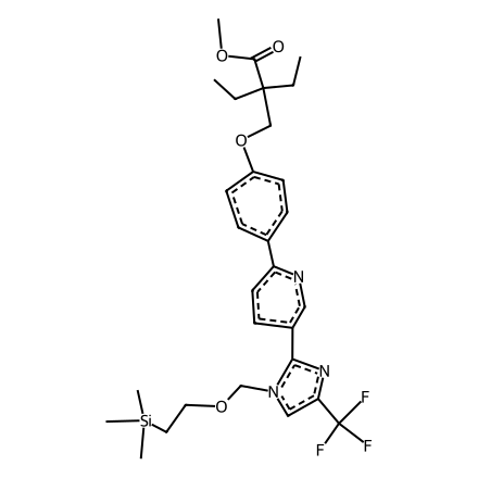 CCC(CC)(COc1ccc(-c2ccc(-c3nc(C(F)(F)F)cn3COCC[Si](C)(C)C)cn2)cc1)C(=O)OC